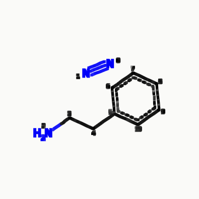 N#N.NCCc1ccccc1